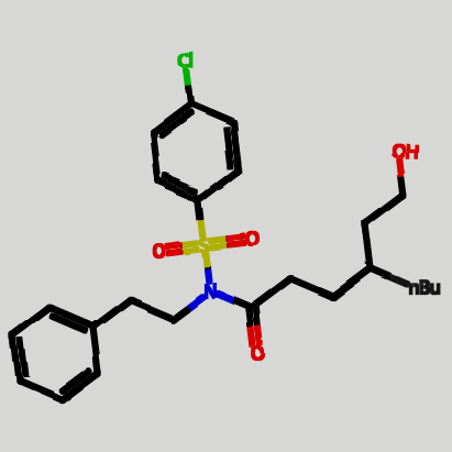 CCCCC(CCO)CCC(=O)N(CCc1ccccc1)S(=O)(=O)c1ccc(Cl)cc1